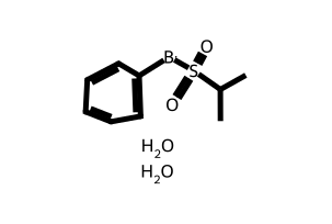 CC(C)S(=O)(=O)[B]c1ccccc1.O.O